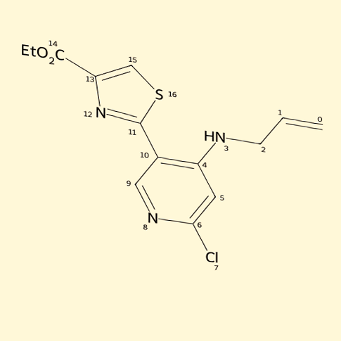 C=CCNc1cc(Cl)ncc1-c1nc(C(=O)OCC)cs1